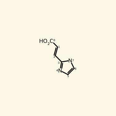 O=C(O)C=CC1=NC=C[N]1